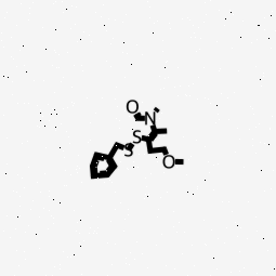 COCC/C(SSCc1ccccc1)=C(\C)N(C)C=O